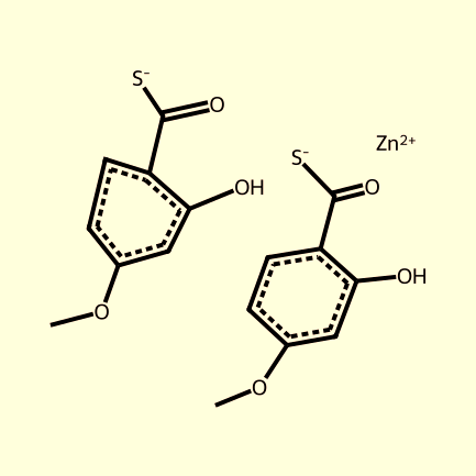 COc1ccc(C(=O)[S-])c(O)c1.COc1ccc(C(=O)[S-])c(O)c1.[Zn+2]